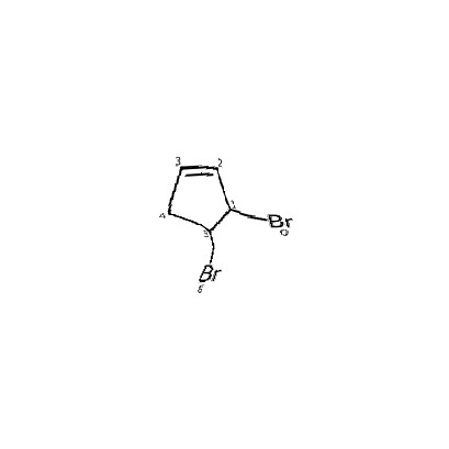 BrC1C=CCC1Br